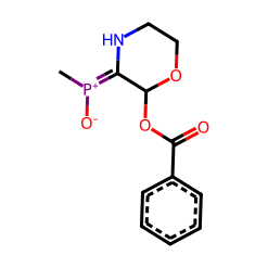 C/[P+]([O-])=C1\NCCOC1OC(=O)c1ccccc1